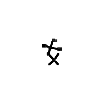 CCC(C)[Si](S)(S)O[Si](C)(C)C